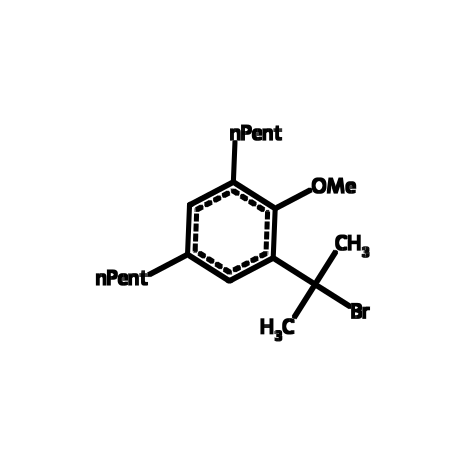 CCCCCc1cc(CCCCC)c(OC)c(C(C)(C)Br)c1